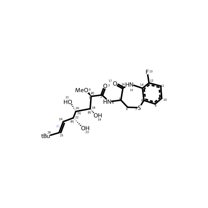 CO[C@@H](C(=O)NC1CSc2cccc(F)c2NC1=O)[C@H](O)[C@@H](O)[C@H](O)/C=C/C(C)(C)C